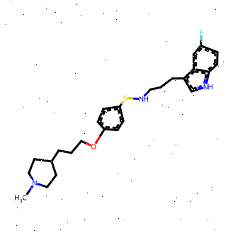 CN1CCC(CCCOc2ccc(SNCCCc3c[nH]c4ccc(F)cc34)cc2)CC1